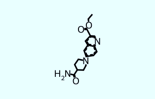 CCOC(=O)c1cnc2ccc(N3CCC(C(N)=O)CC3)cc2c1